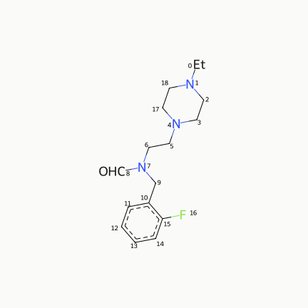 CCN1CCN(CCN(C=O)Cc2ccccc2F)CC1